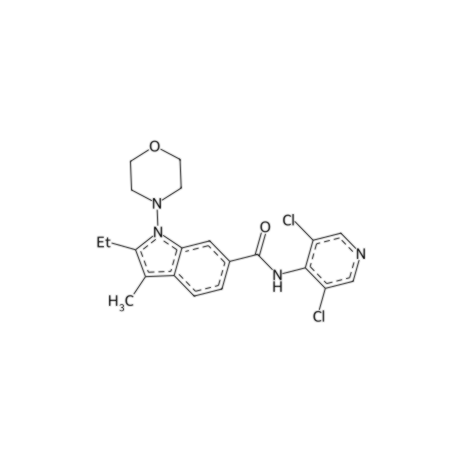 CCc1c(C)c2ccc(C(=O)Nc3c(Cl)cncc3Cl)cc2n1N1CCOCC1